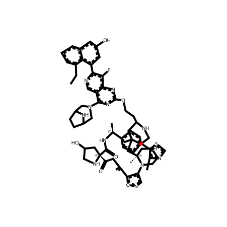 CCc1cccc2cc(O)cc(-c3ncc4c(N5CC6CCC(C5)N6)nc(OCCC5CC(F)(C[C@@]6(C)CNCCN6c6cnoc6C(C)(C)CC(=O)[C@]6(C(=O)N[C@@H](C)c7ccc(-c8scnc8C)cc7)CC(O)CN6)CCN5)nc4c3F)c12